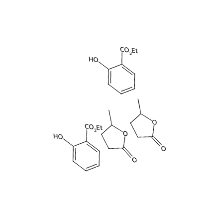 CC1CCC(=O)O1.CC1CCC(=O)O1.CCOC(=O)c1ccccc1O.CCOC(=O)c1ccccc1O